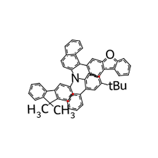 CC(C)(C)c1ccc(N(c2ccc3c(c2)-c2ccccc2C3(C)C)c2ccc3ccccc3c2-c2ccc3c(c2)oc2ccccc23)c(-c2ccccc2)c1